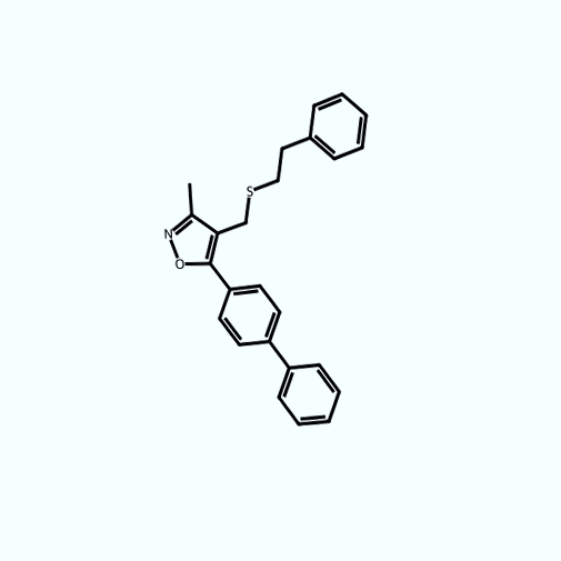 Cc1noc(-c2ccc(-c3ccccc3)cc2)c1CSCCc1ccccc1